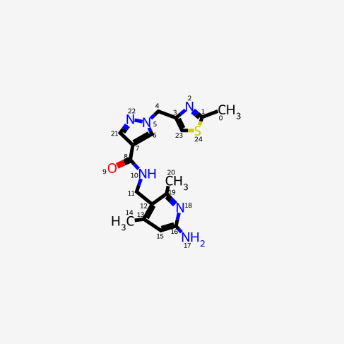 Cc1nc(Cn2cc(C(=O)NCc3c(C)cc(N)nc3C)cn2)cs1